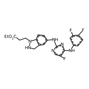 CCOC(=O)CCN1NCc2cc(Nc3ncc(F)c(Nc4ccc(F)c(F)c4)n3)ccc21